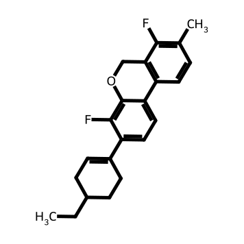 CCC1CC=C(c2ccc3c(c2F)OCc2c-3ccc(C)c2F)CC1